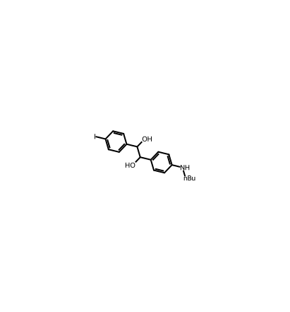 CCCCNc1ccc(C(O)C(O)c2ccc(I)cc2)cc1